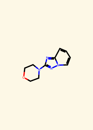 c1ccn2nc(N3CCOCC3)nc2c1